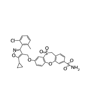 Cc1cccc(Cl)c1-c1noc(C2CC2)c1COc1ccc2c(c1)S(=O)(=O)Cc1ccc(S(N)(=O)=O)cc1O2